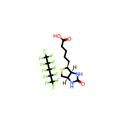 FC(F)(F)C(F)(F)C(F)(F)C(F)(F)C(F)(F)F.O=C(O)CCCC[C@@H]1SC[C@@H]2NC(=O)N[C@@H]21